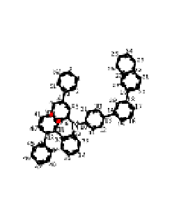 c1ccc(-c2cccc(N(c3ccc(-c4cccc(-c5ccc6ccccc6c5)c4)cc3)c3ccccc3-c3ccccc3-c3ccccc3)c2)cc1